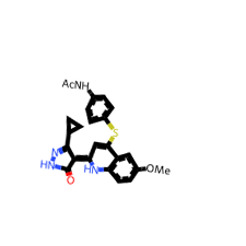 COc1ccc2c(c1)C(Sc1ccc(NC(C)=O)cc1)=C/C(=C1/C(=O)NN=C1C1CC1)N2